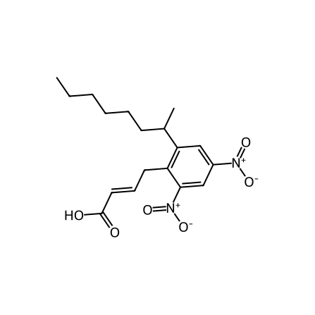 CCCCCCC(C)c1cc([N+](=O)[O-])cc([N+](=O)[O-])c1C/C=C/C(=O)O